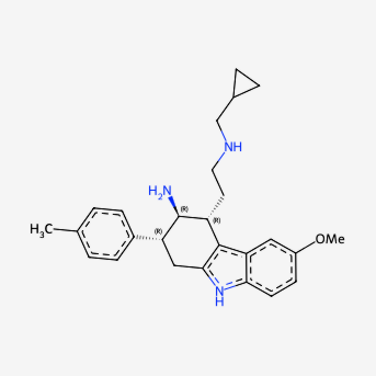 COc1ccc2[nH]c3c(c2c1)[C@@H](CCNCC1CC1)[C@H](N)[C@@H](c1ccc(C)cc1)C3